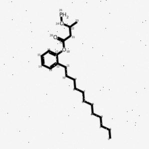 CCCCCCCCCCCCc1ccccc1OC(=O)CC(C)OP